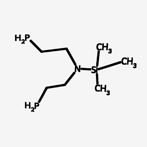 C[Si](C)(C)N(CCP)CCP